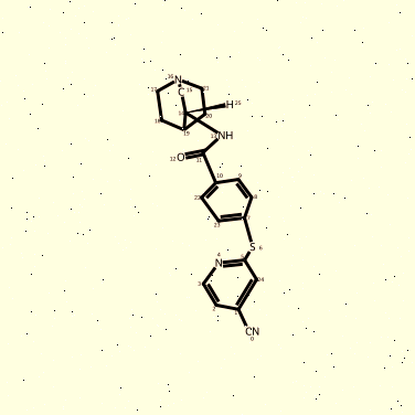 N#Cc1ccnc(Sc2ccc(C(=O)N[C@H]3CN4CCC3CC4)cc2)c1